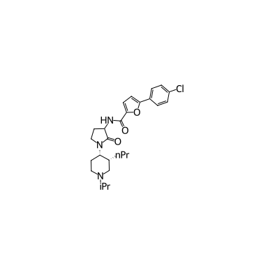 CCC[C@@H]1CN(C(C)C)CC[C@@H]1N1CCC(NC(=O)c2ccc(-c3ccc(Cl)cc3)o2)C1=O